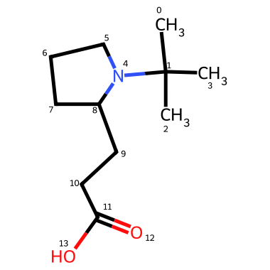 CC(C)(C)N1CCCC1CCC(=O)O